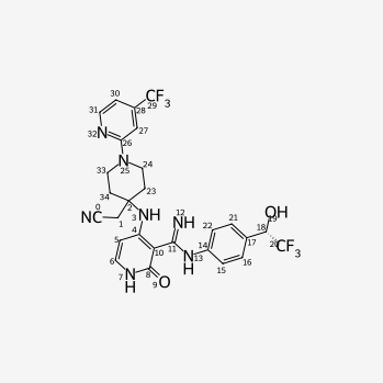 N#CCC1(Nc2cc[nH]c(=O)c2C(=N)Nc2ccc([C@H](O)C(F)(F)F)cc2)CCN(c2cc(C(F)(F)F)ccn2)CC1